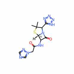 CC1(C)S[C@H]2C(NC(=O)Cn3cncn3)C(=O)N2C1c1nnn[nH]1